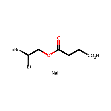 CCCCC(CC)COC(=O)CCC(=O)O.[NaH]